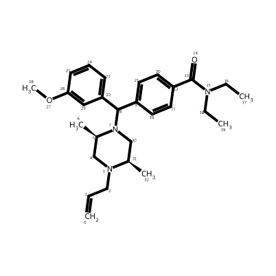 C=CCN1C[C@@H](C)N(C(c2ccc(C(=O)N(CC)CC)cc2)c2cccc(OC)c2)C[C@H]1C